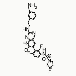 Cn1c(=O)c(-c2c(F)ccc(NS(=O)(=O)N3CC[C@@H](F)C3)c2F)cc2cnc(NCCc3cccc(CN)c3)nc21